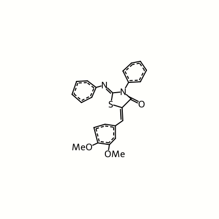 COc1ccc(/C=C2\S/C(=N\c3ccccc3)N(c3ccccc3)C2=O)cc1OC